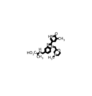 Cc1cc(-c2nc3cc(CN[C@@H](C)C(=O)O)ccc3n2CC2CN(C)CCO2)c[nH]c1=O